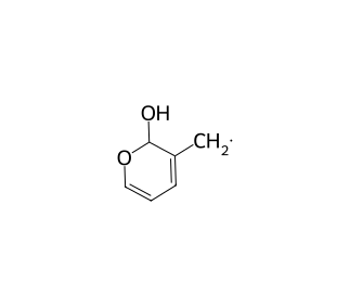 [CH2]C1=CC=COC1O